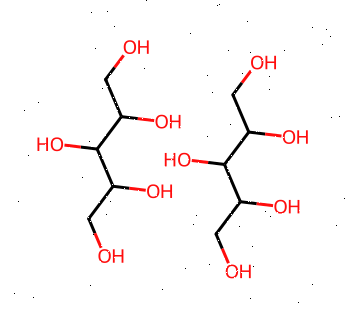 OCC(O)C(O)C(O)CO.OCC(O)C(O)C(O)CO